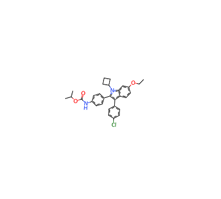 CCOc1ccc2c(-c3ccc(Cl)cc3)c(-c3ccc(NC(=O)OC(C)C)cc3)n(C3CCC3)c2c1